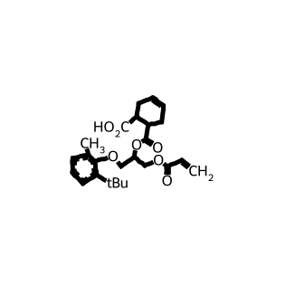 C=CC(=O)OCC(COc1c(C)cccc1C(C)(C)C)OC(=O)C1CC=CCC1C(=O)O